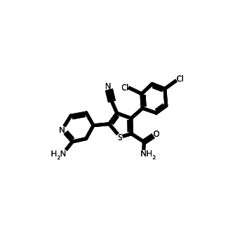 N#Cc1c(C2C=CN=C(N)C2)sc(C(N)=O)c1-c1ccc(Cl)cc1Cl